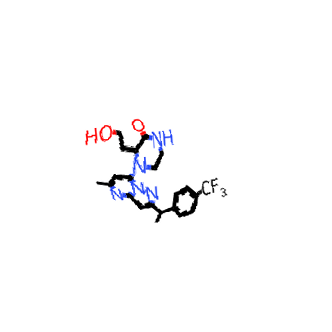 Cc1cc(N2CCNC(=O)C2CCO)n2nc(C(C)c3ccc(C(F)(F)F)cc3)cc2n1